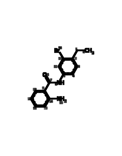 CCc1ccc(NC(=O)c2ccccc2N)cc1Br